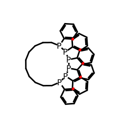 c1ccc(P2CCCCCCCCCCP(c3ccccc3)P(c3ccccc3)P(c3ccccc3)P(c3ccccc3)P2c2ccccc2)cc1